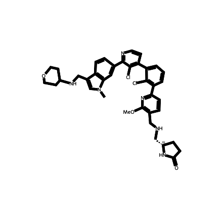 COc1nc(-c2cccc(-c3ccnc(-c4ccc5c(CNC6CCOCC6)cn(C)c5c4)c3Cl)c2Cl)ccc1CNC[C@@H]1CCC(=O)N1